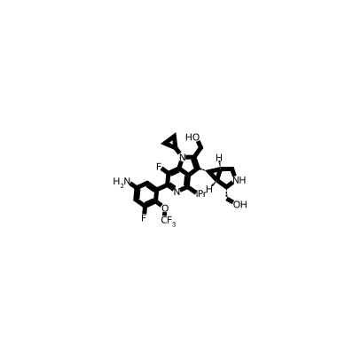 CC(C)c1nc(-c2cc(N)cc(F)c2OC(F)(F)F)c(F)c2c1c([C@@H]1[C@H]3CN[C@H](CO)[C@H]31)c(CO)n2C1CC1